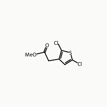 COC(=O)Cc1cc(Cl)sc1Cl